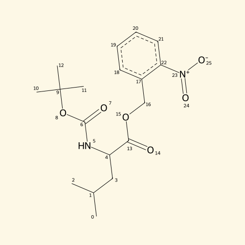 CC(C)CC(NC(=O)OC(C)(C)C)C(=O)OCc1ccccc1[N+](=O)[O-]